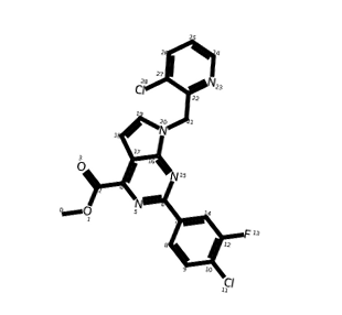 COC(=O)c1nc(-c2ccc(Cl)c(F)c2)nc2c1ccn2Cc1ncccc1Cl